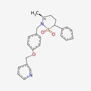 C[C@H]1CCC(c2ccccc2)S(=O)(=O)N1Cc1ccc(OCc2cccnc2)cc1